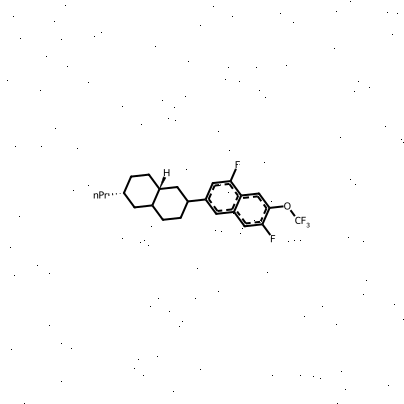 CCC[C@@H]1CC[C@@H]2CC(c3cc(F)c4cc(OC(F)(F)F)c(F)cc4c3)CCC2C1